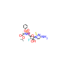 CC(C)OC(=O)[C@H](C)NP(=O)(OC[C@H]1O[C@@H](n2ccc(N)nc2=S)[C@](C)(O)C1F)Oc1ccccc1